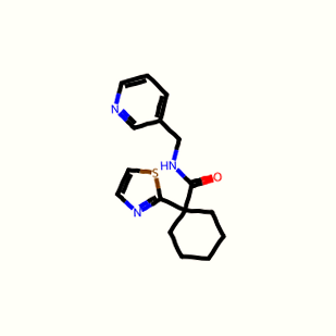 O=C(NCc1cccnc1)C1(c2nccs2)CCCCC1